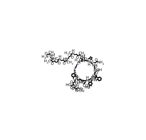 CC(=O)N[C@@H](CC(C)C)C(=O)N[C@H](C(=O)C(=O)[C@H](Cc1ccccc1)NN[C@]1(C)CCCCCC/C=C/CCC[C@@](C)(C(=O)CN[C@@H](C)C(=O)CCN[C@@H](C)C(=O)CCN[C@@H](C)C(=O)CCN[C@@H](C)C(=O)CCC(=O)[C@H](C)NCN[C@H](C)C(N)=O)NC(=O)[C@H](CC2CCC2)NC(=O)[C@H](CCC(N)=O)NC(=O)[C@H](CO)NC(=O)[C@H](Cc2c[nH]c3ccccc23)NN[C@@H](Cc2ccc(O)cc2)C(=O)N[C@@H](CCC(=O)O)C(=O)C1=O)[C@@H](C)O